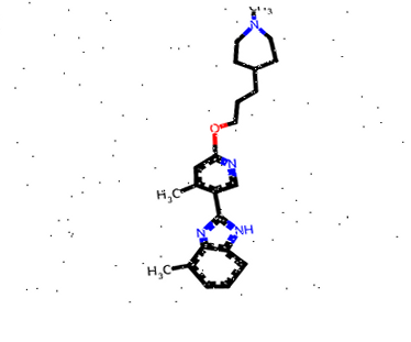 Cc1cc(OCCCC2CCN(C)CC2)ncc1-c1nc2c(C)cccc2[nH]1